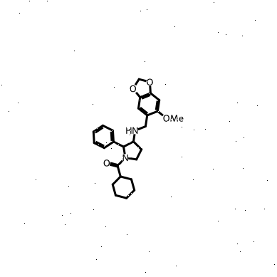 COc1cc2c(cc1CNC1CCN(C(=O)C3CCCCC3)C1c1ccccc1)OCO2